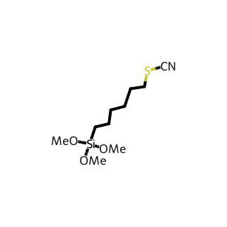 CO[Si](CCCCCCSC#N)(OC)OC